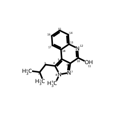 CC(C)Cc1c2c(nn1C)c(O)nc1ccccc12